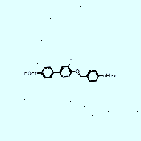 CCCCCCCCc1ccc(-c2ccc(OCc3ccc(CCCCCC)cc3)c(F)c2)cc1